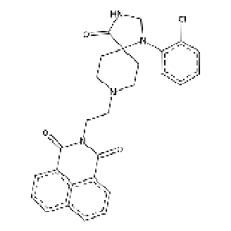 O=C1c2cccc3cccc(c23)C(=O)N1CCN1CCC2(CC1)C(=O)NCN2c1ccccc1Cl